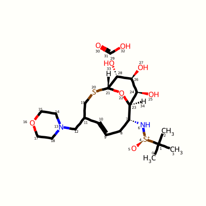 CC(C)(C)[S@@+]([O-])N[C@@H]1C/C=C/C(CN2CCOCC2)CS[C@H]2O[C@H]1[C@H](O)[C@H](O)[C@H]2O.O=CO